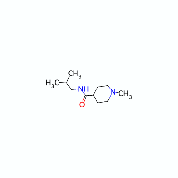 CC(C)CNC(=O)C1CCN(C)CC1